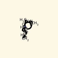 C=CC(=O)NCC(F)(F)Oc1cccc2c1N1CCCCCOc3c(cnn3C)-c3cc(cc(C)n3)C(=O)/N=C/1N2